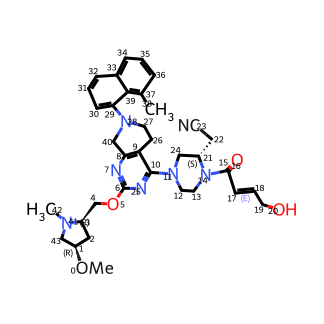 CO[C@@H]1C[C@H](COc2nc3c(c(N4CCN(C(=O)/C=C/CO)[C@@H](CC#N)C4)n2)CCN(c2cccc4cccc(C)c24)C3)N(C)C1